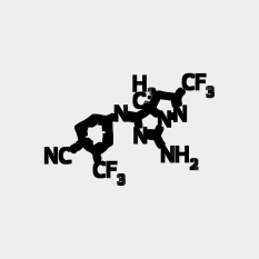 C[C@]12CC(C(F)(F)F)=NN1C(N)=NC2=Nc1ccc(C#N)c(C(F)(F)F)c1